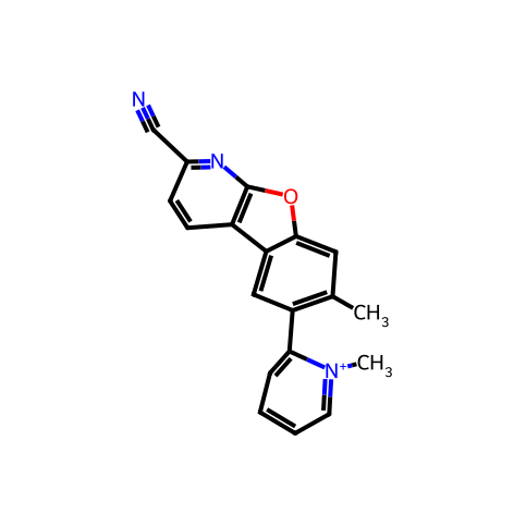 Cc1cc2oc3nc(C#N)ccc3c2cc1-c1cccc[n+]1C